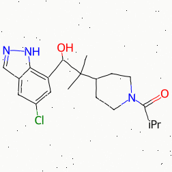 CC(C)C(=O)N1CCC(C(C)(C)C(O)c2cc(Cl)cc3cn[nH]c23)CC1